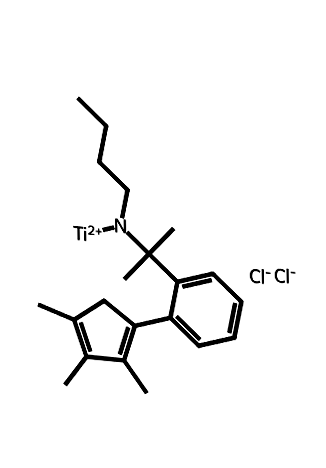 CCCC[N]([Ti+2])C(C)(C)c1ccccc1C1=C(C)C(C)=C(C)C1.[Cl-].[Cl-]